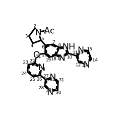 CC(=O)N1CCCC1c1cc2[nH]c(-c3cnccn3)nc2cc1Oc1cccc(-c2cnccn2)n1